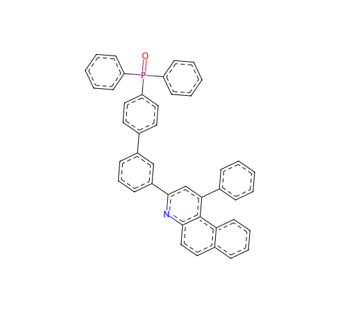 O=P(c1ccccc1)(c1ccccc1)c1ccc(-c2cccc(-c3cc(-c4ccccc4)c4c(ccc5ccccc54)n3)c2)cc1